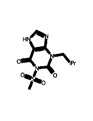 CC(C)Cn1c(=O)n(S(C)(=O)=O)c(=O)c2[nH]cnc21